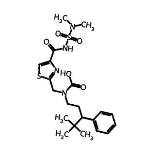 CN(C)S(=O)(=O)NC(=O)c1csc(CN(CCC(c2ccccc2)C(C)(C)C)C(=O)O)n1